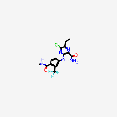 CCc1nc(C(N)=O)c(Nc2ccc(C(=O)NC)c(C(F)(F)F)c2)nc1Cl